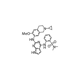 COc1cc2c(cc1Nc1nc(Nc3ccccc3S(=O)(=O)N(C)C)c3cc[nH]c3n1)CN(C1CC1)CC2